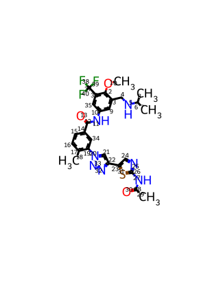 COc1c(CNC(C)C)cc(NC(=O)c2ccc(C)c(-n3cc(-c4cnc(NC(C)=O)s4)nn3)c2)cc1C(F)(F)F